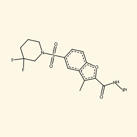 Cc1c(C(=O)NC(C)C)oc2ccc(S(=O)(=O)N3CCCC(F)(F)C3)cc12